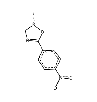 CN1CN=C(c2ccc([N+](=O)[O-])cc2)O1